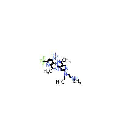 CCCN(CCNC)c1cc2c(N[C@H](C)c3cc(N)cc(C(F)(F)F)n3)nnc(C)c2cn1